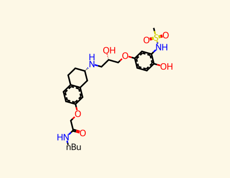 CCCCNC(=O)COc1ccc2c(c1)C[C@@H](NC[C@H](O)COc1ccc(O)c(NS(C)(=O)=O)c1)CC2